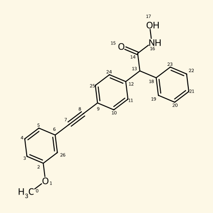 COc1cccc(C#Cc2ccc(C(C(=O)NO)c3ccccc3)cc2)c1